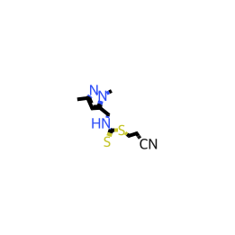 Cc1cc(CNC(=S)SCCC#N)n(C)n1